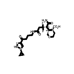 NC(=O)[C@H]([C@H]1COCCN1C(=O)O)C(F)(F)CC(=O)NCCCC(=O)C1=CN(C2CC2)NO1